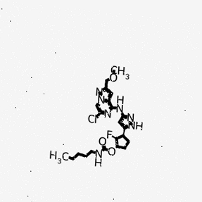 CCCCCNC(=O)O[C@@H]1CC[C@H](c2cc(Nc3nc(Cl)cn4nc(COC)cc34)n[nH]2)[C@@H]1F